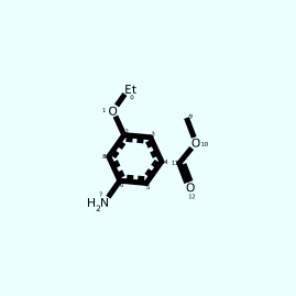 CCOc1cccc(N)c1.COC=O